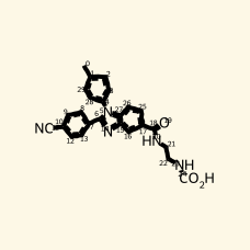 Cc1ccc(-n2c(-c3ccc(C#N)cc3)nc3cc(C(=O)NCCNC(=O)O)ccc32)cc1